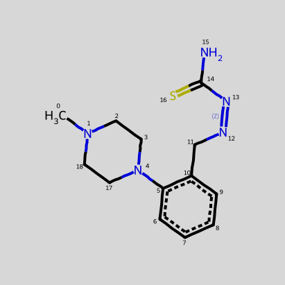 CN1CCN(c2ccccc2C/N=N\C(N)=S)CC1